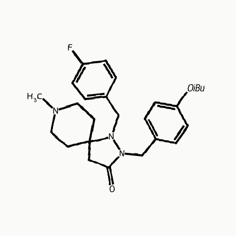 CC(C)COc1ccc(CN2C(=O)CC3(CCN(C)CC3)N2Cc2ccc(F)cc2)cc1